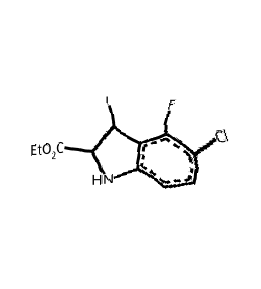 CCOC(=O)C1Nc2ccc(Cl)c(F)c2C1I